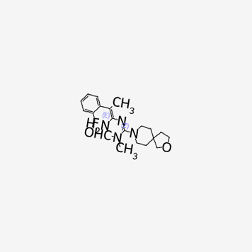 C/C(=C(N)\N=C(/N(C)C=O)N1CCC2(CCOC2)CC1)c1ccccc1F